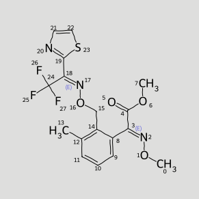 CO/N=C(/C(=O)OC)c1cccc(C)c1CO/N=C(/c1nccs1)C(F)(F)F